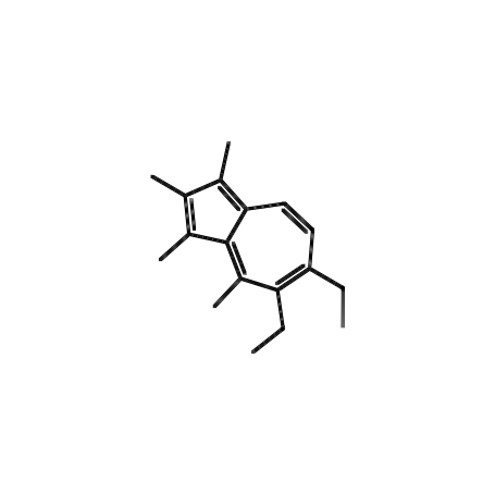 CCc1ccc2c(C)c(C)c(C)c-2c(C)c1CC